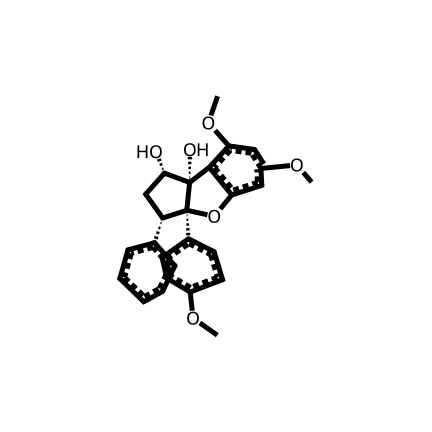 COc1ccc([C@@]23Oc4cc(OC)cc(OC)c4[C@]2(O)[C@@H](O)C[C@H]3c2ccccc2)cc1